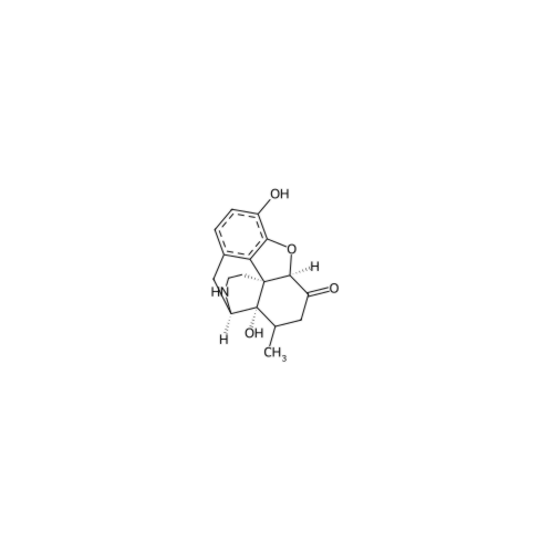 CC1CC(=O)[C@@H]2Oc3c(O)ccc4c3[C@@]23CCN[C@H](C4)[C@]13O